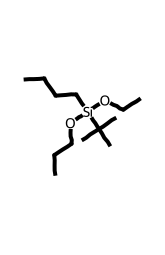 CCCC[Si](OCC)(OCCC)C(C)(C)C